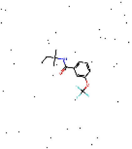 CCC(C)(C)NC(=O)c1cccc(OC(F)(F)F)c1